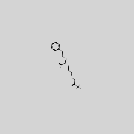 NC(=O)[C@H](CCCSCC(=O)C(F)(F)F)NCCc1ccccc1